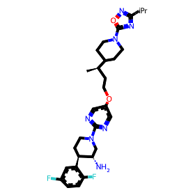 CC(C)c1noc(N2CCC([C@H](C)CCOc3cnc(N4CC[C@H](c5cc(F)ccc5F)[C@@H](N)C4)nc3)CC2)n1